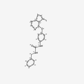 Cn1ccc2ncnc(Oc3ccc(NC(=O)NCc4ccccc4)cc3)c21